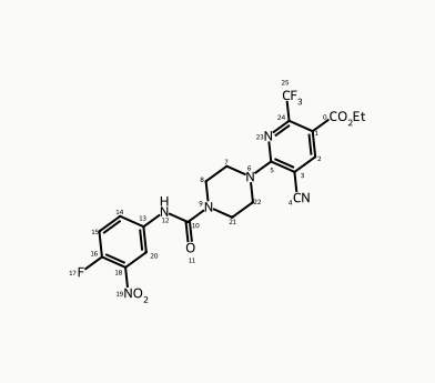 CCOC(=O)c1cc(C#N)c(N2CCN(C(=O)Nc3ccc(F)c([N+](=O)[O-])c3)CC2)nc1C(F)(F)F